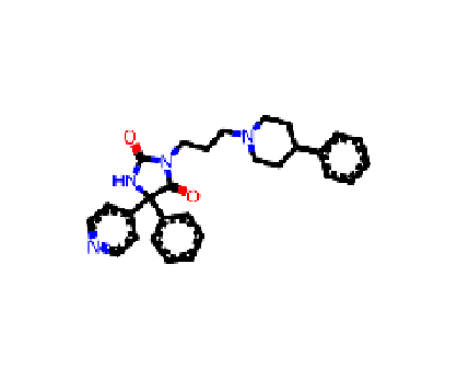 O=C1NC(c2ccccc2)(c2ccncc2)C(=O)N1CCCN1CCC(c2ccccc2)CC1